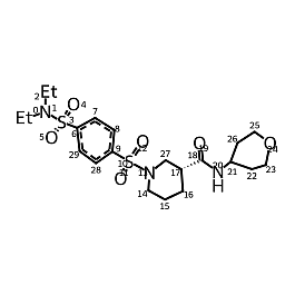 CCN(CC)S(=O)(=O)c1ccc(S(=O)(=O)N2CCC[C@@H](C(=O)NC3CCOCC3)C2)cc1